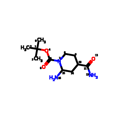 CC(C)(C)OC(=O)N1CCC(C(N)=O)CC1N